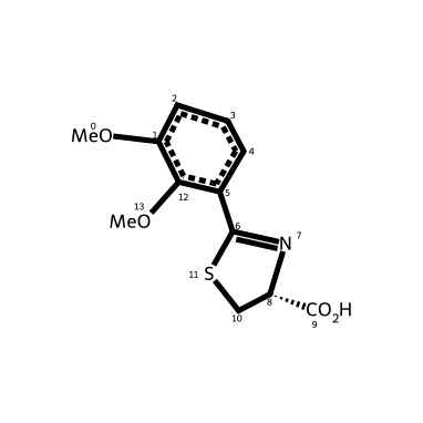 COc1cccc(C2=N[C@H](C(=O)O)CS2)c1OC